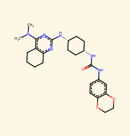 CN(C)c1nc(N[C@H]2CC[C@@H](NC(=O)Nc3ccc4c(c3)OCCO4)CC2)nc2c1CCCC2